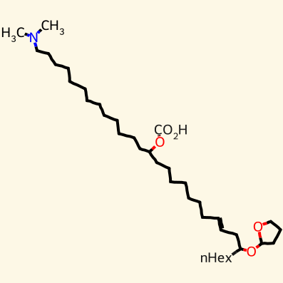 CCCCCCC(CC=CCCCCCCCC(CCCCCCCCCCCCCN(C)C)OC(=O)O)OC1CCCO1